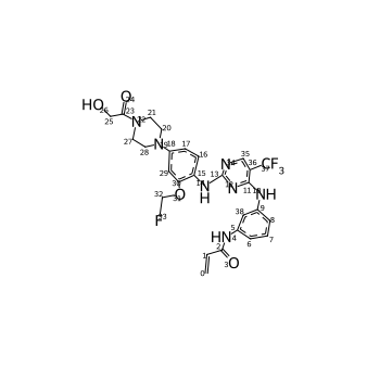 C=CC(=O)Nc1cccc(Nc2nc(Nc3ccc(N4CCN(C(=O)CO)CC4)cc3OCF)ncc2C(F)(F)F)c1